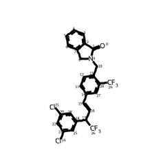 O=C1c2ccccc2CN1Cc1ccc(/C=C/C(c2cc(Cl)cc(Cl)c2)C(F)(F)F)cc1C(F)(F)F